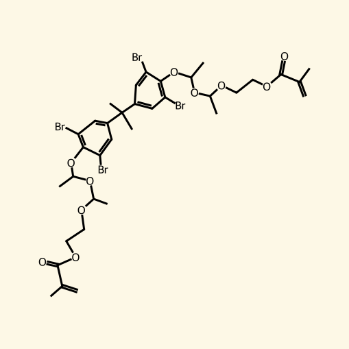 C=C(C)C(=O)OCCOC(C)OC(C)Oc1c(Br)cc(C(C)(C)c2cc(Br)c(OC(C)OC(C)OCCOC(=O)C(=C)C)c(Br)c2)cc1Br